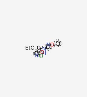 CCOC(=O)/C(=C/Nc1ccc(OCc2ccccc2)nc1)C(=O)c1cccnc1Cl